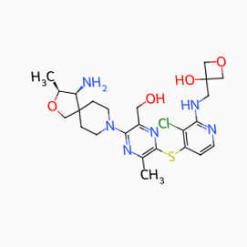 Cc1nc(N2CCC3(CC2)CO[C@@H](C)[C@H]3N)c(CO)nc1Sc1ccnc(NCC2(O)COC2)c1Cl